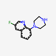 Fc1cnc2c(N3CCNCC3)cccc2c1